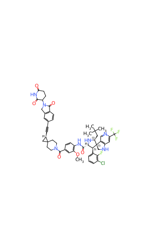 COc1cc(C(=O)N2CCC3(CC2)C[C@H]3C#Cc2ccc3c(c2)CN(C2CCC(=O)NC2=O)C3=O)ccc1NC(=O)[C@@H]1N[C@@H](CC(C)(C)C)[C@@]2(CNc3cc(C(F)(F)F)ncc32)[C@H]1c1cccc(Cl)c1F